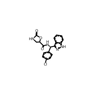 O=C1NCC(C(=O)N[C@H](c2ccc(Cl)cc2)c2n[nH]c3ccccc23)O1